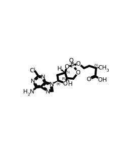 C[C@@H](CCOP1(=O)OC[C@H]2O[C@@H](n3cnc4c(N)nc(Cl)nc43)C[C@@H]2O1)C(=O)O